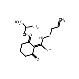 C=CCONC(CCC)=C1C(=O)CCCC1=O.CN(C)C(=O)O